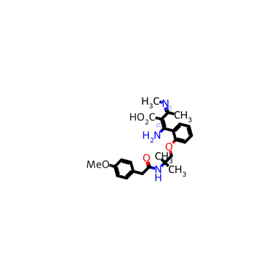 C/N=C(C)\C(C(=O)O)=C(\N)c1ccccc1OCC(C)(C)NC(=O)Cc1ccc(OC)cc1